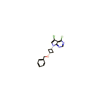 Clc1ncnc2c1c(Br)cn2[C@H]1C[C@@H](OCc2ccccc2)C1